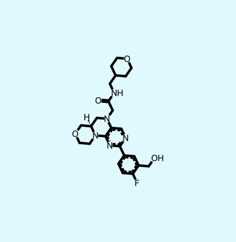 O=C(CN1C[C@@H]2COCCN2c2nc(-c3ccc(F)c(CO)c3)ncc21)NCC1CCOCC1